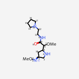 CO/N=C1/CNC(C(OC)C(=O)NCCN2CCCC2)C1